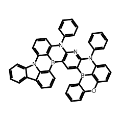 c1ccc(N2c3cccc4c3B(c3ccccc3O4)c3cc4c(nc32)N(c2ccccc2)c2cccc3c2B4c2cccc4c5ccccc5n-3c24)cc1